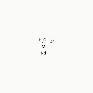 O.[Mn].[Nd].[Zr]